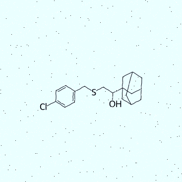 OC(CSCc1ccc(Cl)cc1)C12CC3CC(CC(C3)C1)C2